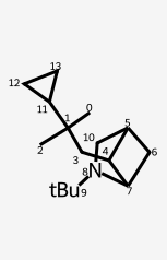 CC(C)(CC1C2CC1N(C(C)(C)C)C2)C1CC1